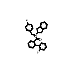 O=C(c1ccccc1-c1ccccc1F)N(Cc1ccc(F)cc1)C1Cc2ccccc2C1